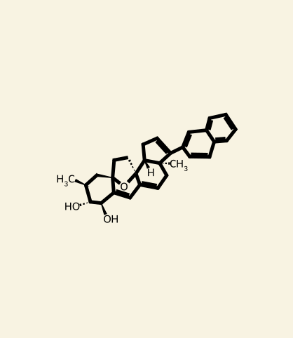 C[C@H]1C[C@@]23CC[C@@]4(O2)C(=CC[C@]2(C)C(c5ccc6ccccc6c5)=CC[C@H]24)C=C3[C@@H](O)[C@@H]1O